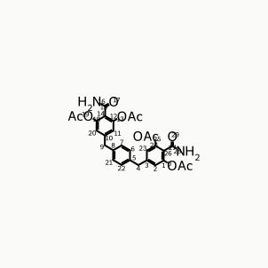 CC(=O)Oc1cc(Cc2ccc(Cc3cc(OC(C)=O)c(C(N)=O)c(OC(C)=O)c3)cc2)cc(OC(C)=O)c1C(N)=O